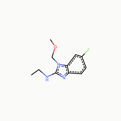 CCNc1nc2ccc(F)cc2n1COC